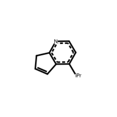 CC(C)c1ccnc2c1C=CC2